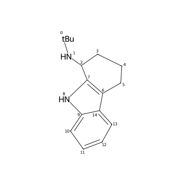 CC(C)(C)NC1CCCc2c1[nH]c1ccccc21